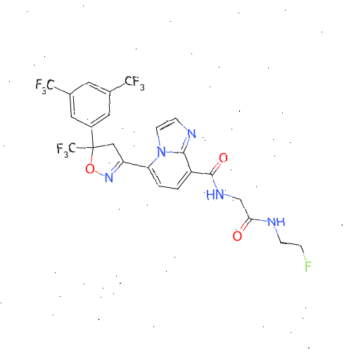 O=C(CNC(=O)c1ccc(C2=NOC(c3cc(C(F)(F)F)cc(C(F)(F)F)c3)(C(F)(F)F)C2)n2ccnc12)NCCF